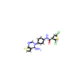 NC1c2ccsc2N=CN1c1ccc(NC(=O)c2cc(Cl)sc2Cl)cc1